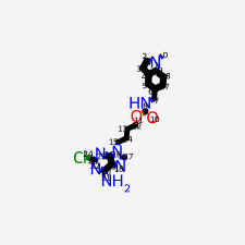 Cn1ccc2cc(CNC(=O)OCCCCn3cnc4c(N)nc(Cl)nc43)ccc21